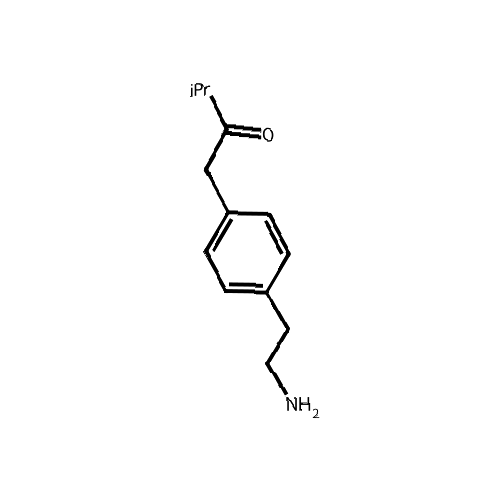 CC(C)C(=O)Cc1ccc(CCN)cc1